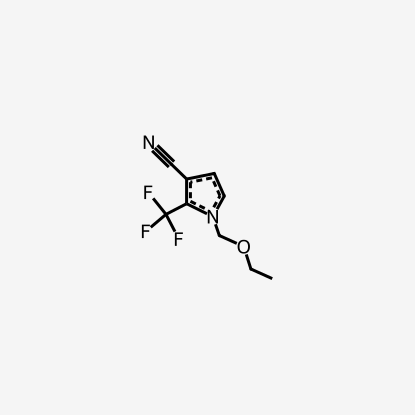 CCOCn1ccc(C#N)c1C(F)(F)F